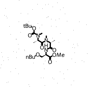 CCCCOC[C@@H](NC(=O)[C@@H](C)N(C)C(=O)[C@H](C)N(C)C(=O)OC(C)(C)C)C(=O)OC